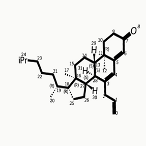 C=CCC1=CC2=CC(=O)CC[C@]2(C)[C@H]2CC[C@]3(C)[C@@H]([C@H](C)CCCC(C)C)CC[C@H]3[C@H]12